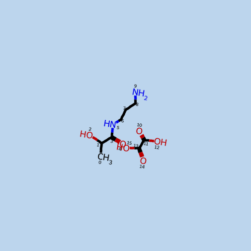 CC(O)C(=O)NCCCN.O=C(O)C(=O)O